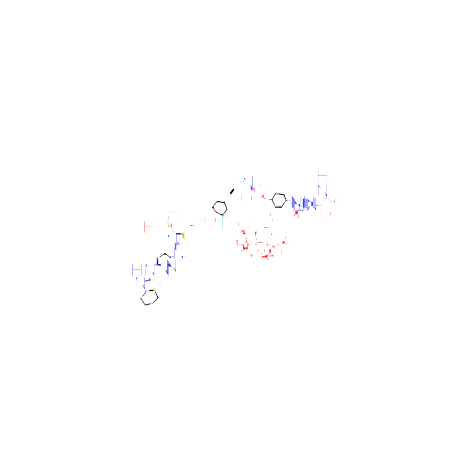 COC(=O)[C@H]1O[C@@H](CCc2cc(NC(=O)C(C)NC(=O)C(N)C(C)C)ccc2COC(=O)N(C)CC#Cc2ccc(OCCCc3sc(N(C)c4cc(C)c(Nc5nc6ccccc6s5)nn4)nc3C(=O)O)c(F)c2)[C@H](OC(C)=O)[C@@H](OC(C)=O)[C@@H]1OC(C)=O